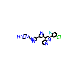 Fc1ccc(Cl)cc1-c1cc(-c2cncc(-c3cnn(CCN4CCNCC4)c3)c2)c2cccnc2n1